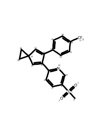 CS(=O)(=O)c1ccc(C2=CC3(C=C2c2ccc(C(F)(F)F)cc2)CC3)nc1